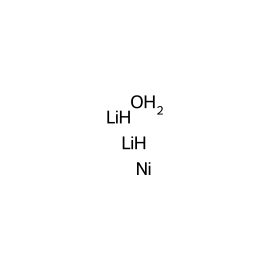 O.[LiH].[LiH].[Ni]